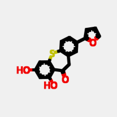 O=C1Cc2cc(-c3ccco3)ccc2Sc2cc(O)cc(O)c21